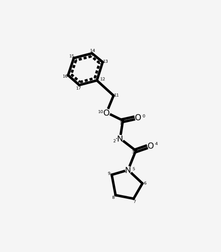 O=C([N]C(=O)N1CCCC1)OCc1ccccc1